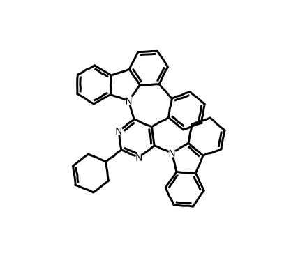 C1=Cc2c(n(-c3nc(C4CC=CCC4)nc4c3-c3ccccc3-c3cccc5c6ccccc6n-4c35)c3ccccc23)CC1